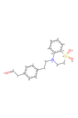 O=[C]Cc1ccc(CCN2CCS(=O)(=O)c3ccccc32)cc1